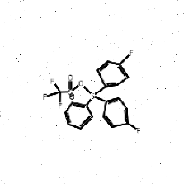 O=S(=O)(OS(c1ccccc1)(c1ccc(F)cc1)c1ccc(F)cc1)C(F)(F)F